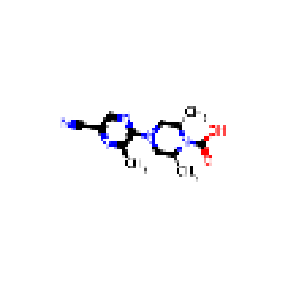 Cc1nc(C#N)cnc1N1C[C@@H](C)N(C(=O)O)[C@@H](C)C1